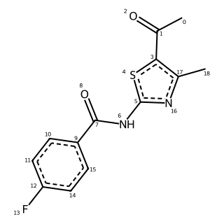 CC(=O)c1sc(NC(=O)c2ccc(F)cc2)nc1C